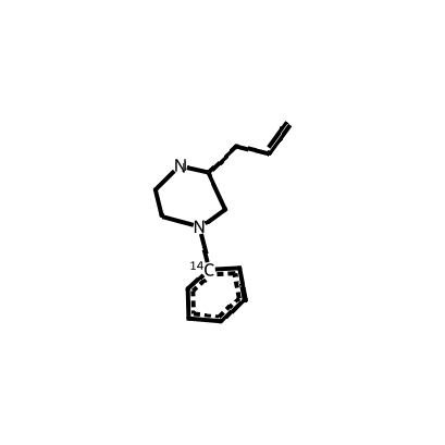 C=CCC1CN([14c]2ccccc2)CC[N]1